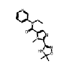 CCN(C(=O)c1cnc(C2=NOC(C)(C)N2)n1C)c1cccnc1